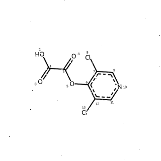 O=C(O)C(=O)Oc1c(Cl)cncc1Cl